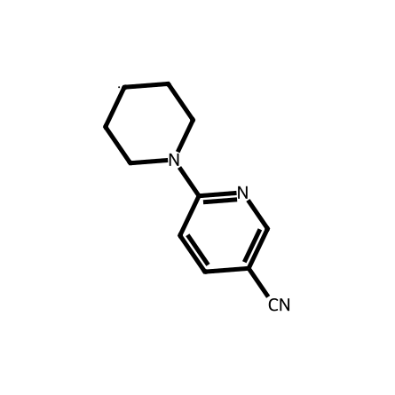 N#Cc1ccc(N2CC[CH]CC2)nc1